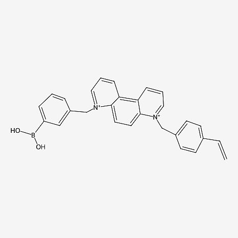 C=Cc1ccc(C[n+]2cccc3c4ccc[n+](Cc5cccc(B(O)O)c5)c4ccc32)cc1